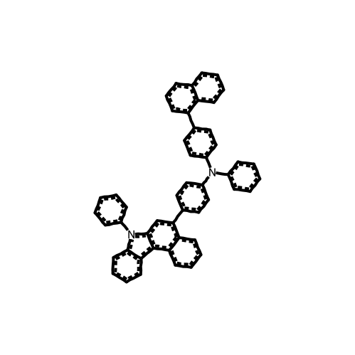 c1ccc(N(c2ccc(-c3cccc4ccccc34)cc2)c2ccc(-c3cc4c(c5ccccc35)c3ccccc3n4-c3ccccc3)cc2)cc1